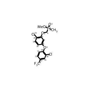 COP(C)(=O)COc1cc(Oc2ccc(C(F)(F)F)cc2Cl)ccc1Cl